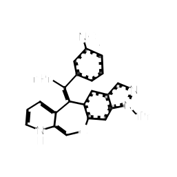 CCC/C(=C1\C2=CC=CNC2=COc2cc3c(cnn3C(C)C)cc21)c1cccc([N+](=O)[O-])c1